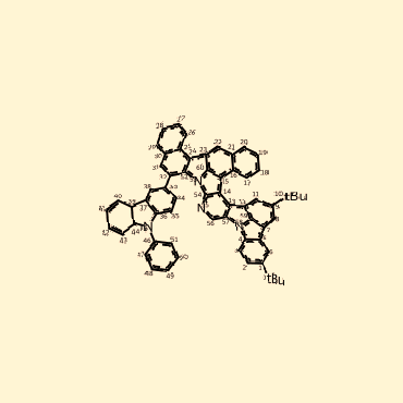 CC(C)(C)c1ccc2c(c1)c1cc(C(C)(C)C)cc3c4c5c6c7ccccc7cc7c8c9ccccc9cc(-c9ccc%10c(c9)C9C=CC=CC9N%10c9ccccc9)c8n(c5ncc4n2c13)c76